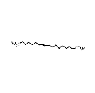 O=C(O)CCCCCC/C=C/CCCCCCCCC(=O)O